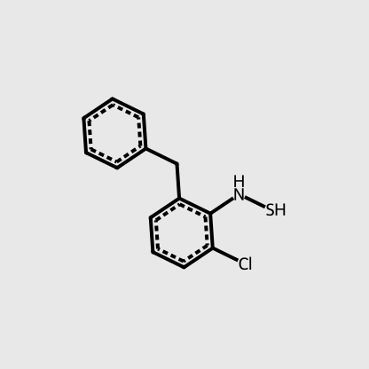 SNc1c(Cl)cccc1Cc1ccccc1